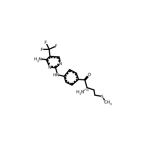 CSCC[C@H](N)C(=O)c1ccc(Nc2ncc(C(F)(F)F)c(N)n2)cc1